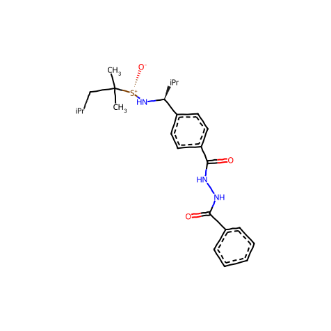 CC(C)CC(C)(C)[S@+]([O-])N[C@H](c1ccc(C(=O)NNC(=O)c2ccccc2)cc1)C(C)C